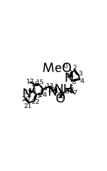 COc1cccc([C@@H]2C[C@H]2C(=O)NN=Cc2cc(C)c3ncccc3c2)n1